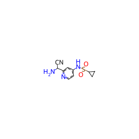 N#CC(N)c1cc(NS(=O)(=O)C2CC2)ccn1